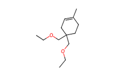 CCOCC1(COCC)CC=C(C)CC1